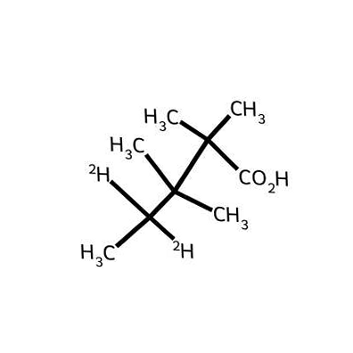 [2H]C([2H])(C)C(C)(C)C(C)(C)C(=O)O